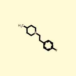 CC1CCN(CCc2ccc(F)cc2)CC1